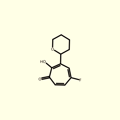 O=c1ccc(F)cc(C2CCCCO2)c1O